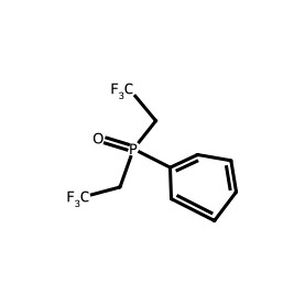 O=P(CC(F)(F)F)(CC(F)(F)F)c1ccccc1